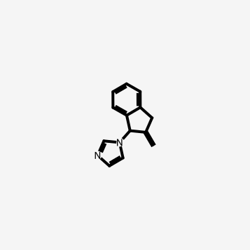 C=C1Cc2ccccc2C1n1ccnc1